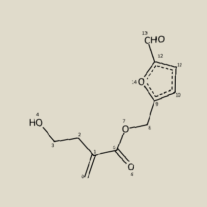 C=C(CCO)C(=O)OCc1ccc(C=O)o1